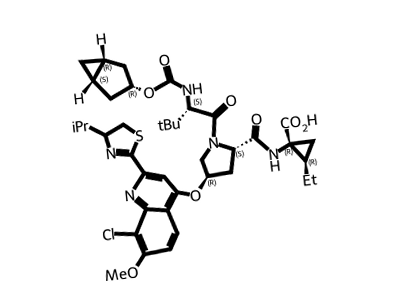 CC[C@@H]1C[C@]1(NC(=O)[C@@H]1C[C@@H](Oc2cc(C3=NC(C(C)C)CS3)nc3c(Cl)c(OC)ccc23)CN1C(=O)[C@@H](NC(=O)O[C@@H]1C[C@@H]2C[C@@H]2C1)C(C)(C)C)C(=O)O